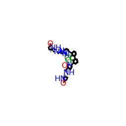 COc1nc(-c2cccc(-c3cccc(-c4ccc5nc(CNC[C@H]6CCC(=O)N6)cn5n4)c3Cl)c2Cl)ccc1CNC[C@@H]1CCC(=O)N1